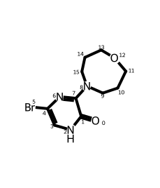 O=c1[nH]cc(Br)nc1N1CCCOCCC1